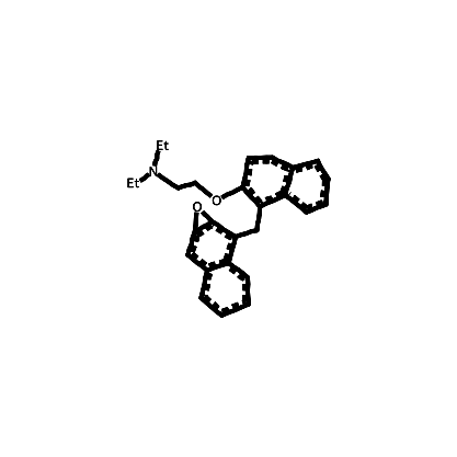 CCN(CC)CCOc1ccc2ccccc2c1Cc1c2c(cc3ccccc13)O2